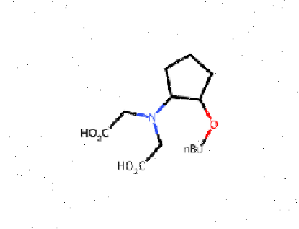 CCCCOC1CCCC1N(CC(=O)O)CC(=O)O